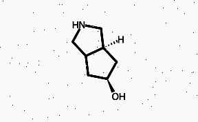 O[C@H]1CC2CNC[C@H]2C1